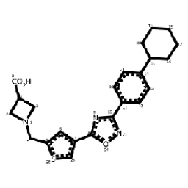 O=C(O)C1CN(Cc2cc(-c3nc(-c4ccc(C5CCCCC5)cc4)no3)cs2)C1